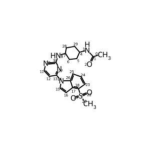 CC(=O)NC1CCC(Nc2nccc(-n3ccc4c(S(C)(=O)=O)cccc43)n2)CC1